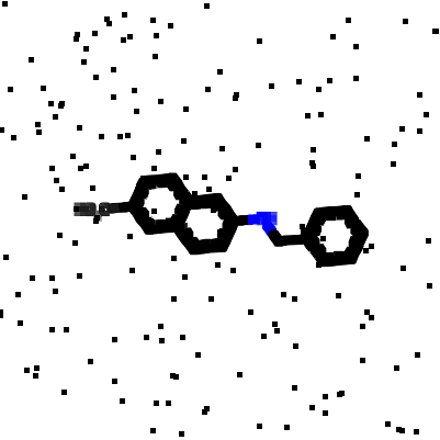 O=C(O)c1ccc2cc(NCc3ccccc3)ccc2c1